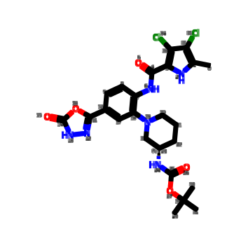 Cc1[nH]c(C(=O)Nc2ccc(-c3n[nH]c(=O)o3)cc2N2CCC[C@H](NC(=O)OC(C)(C)C)C2)c(Cl)c1Cl